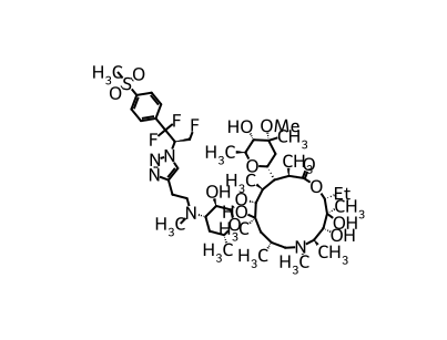 CC[C@H]1OC(=O)[C@H](C)C([C@H]2C[C@@](C)(OC)[C@@H](O)[C@H](C)O2)[C@H](C)[C@@H](O[C@@H]2O[C@H](C)C[C@H](N(C)CCc3cn([C@H](CF)C(F)(F)c4ccc(S(C)(=O)=O)cc4)nn3)[C@H]2O)[C@](C)(O)C[C@@H](C)CN(C)[C@H](C)[C@@H](O)[C@]1(C)O